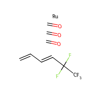 C=CC=CC(F)(F)C(F)(F)F.C=O.C=O.C=O.[Ru]